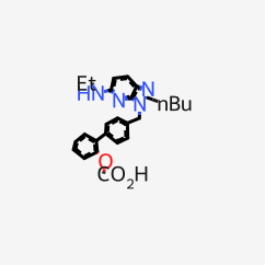 CCCCc1nc2ccc(NCC)nc2n1Cc1ccc(-c2ccccc2OC(=O)O)cc1